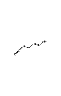 CCCC=CCN=C=O